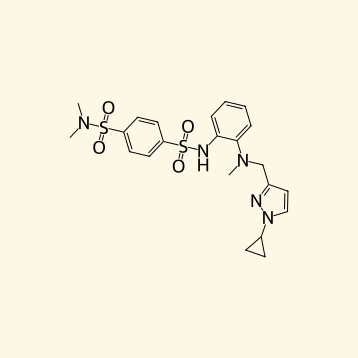 CN(Cc1ccn(C2CC2)n1)c1ccccc1NS(=O)(=O)c1ccc(S(=O)(=O)N(C)C)cc1